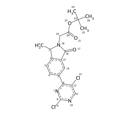 CC1c2ccc(-c3nc(Cl)ncc3Cl)cc2C(=O)N1CC(=O)OC(C)(C)C